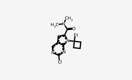 CCC1(n2c(C(=O)N(C)C)cc3cnc(Cl)nc32)CCC1